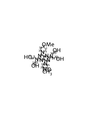 COC1CCN(c2nc(N(CCO)CCO)nc3c(N4CCN(C)C(=O)C4)nc(N(CCO)CCO)nc23)CC1